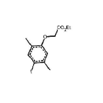 CCOC(=O)COc1cc(C)c(I)cc1C